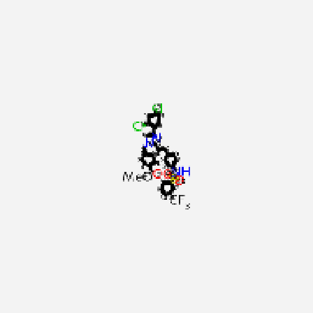 COC(=O)c1ccc(Cn2cc(-c3ccc(Cl)cc3Cl)nc2/C=C/c2ccc(NS(=O)(=O)c3cccc(C(F)(F)F)c3)cc2)cc1